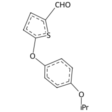 CC(C)Oc1ccc(Oc2ccc(C=O)s2)cc1